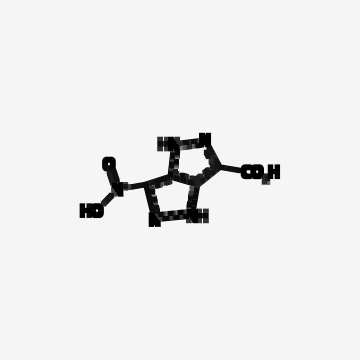 O=C(O)c1n[nH]c2c([N+](=O)O)n[nH]c12